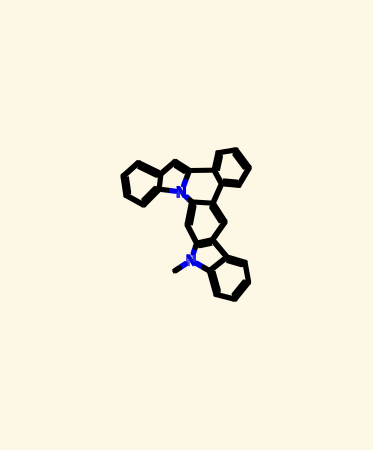 Cn1c2ccccc2c2cc3c4ccccc4c4cc5ccccc5n4c3cc21